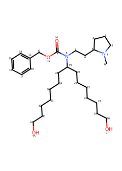 CN1CCCC1CCN(C(=O)OCc1ccccc1)C(CCCCCCCO)CCCCCCCO